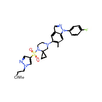 COCCn1cc(S(=O)(=O)N2CCN(c3cc4cnn(-c5ccc(F)cc5)c4cc3C)CC23CC3)cn1